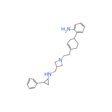 Nc1ccccc1C1CC=C(CCN2CC(CNC3CC3c3ccccc3)C2)CC1